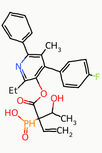 C=CC(C(=O)Oc1c(CC)nc(-c2ccccc2)c(C)c1-c1ccc(F)cc1)(C(C)O)[PH](=O)O